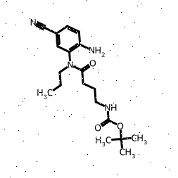 CCCN(C(=O)CCCNC(=O)OC(C)(C)C)c1cc(C#N)ccc1N